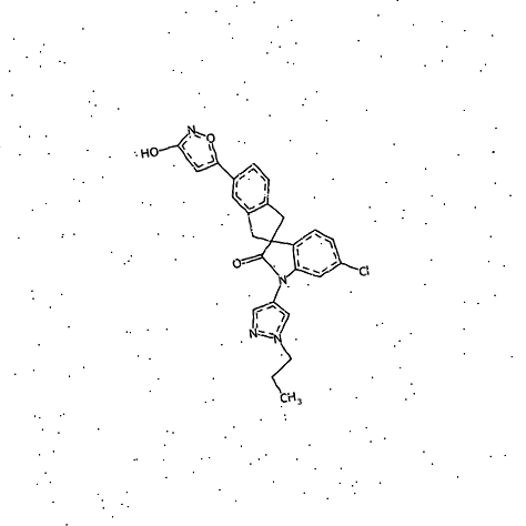 CCCn1cc(N2C(=O)C3(Cc4ccc(-c5cc(O)no5)cc4C3)c3ccc(Cl)cc32)cn1